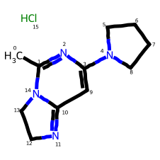 CC1=NC(N2CCCC2)=CC2=NCCN12.Cl